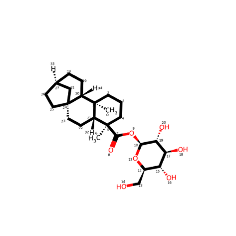 C[C@]12CCC[C@@](C)(C(=O)O[C@@H]3O[C@H](CO)[C@@H](O)[C@H](O)[C@H]3O)[C@@H]1CC[C@@]13CC[C@@H](CC[C@@H]12)C3